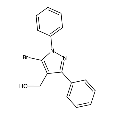 OCc1c(-c2ccccc2)nn(-c2ccccc2)c1Br